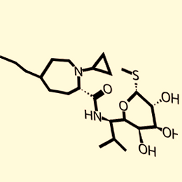 CCCC1CC[C@@H](C(=O)N[C@H](C(C)C)C2O[C@H](SC)[C@H](O)[C@@H](O)[C@H]2O)N(C2CC2)CC1